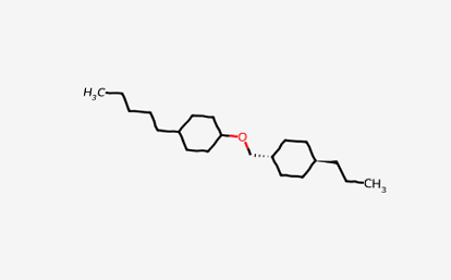 CCCCCC1CCC(OC[C@H]2CC[C@H](CCC)CC2)CC1